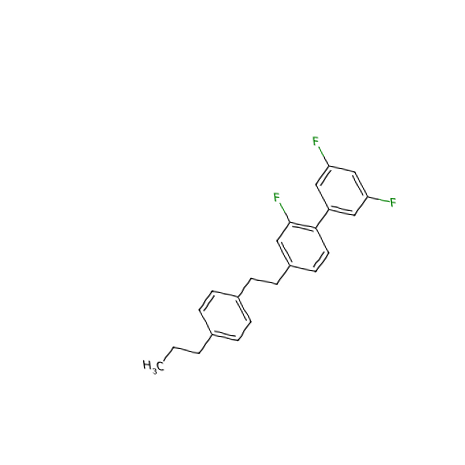 CCCc1ccc(CCc2ccc(-c3cc(F)cc(F)c3)c(F)c2)cc1